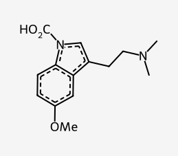 COc1ccc2c(c1)c(CCN(C)C)cn2C(=O)O